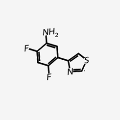 Nc1cc(-c2cs[c]n2)c(F)cc1F